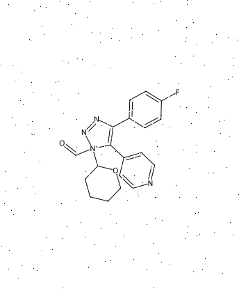 O=C[N+]1(C2CCCCO2)N=NC(c2ccc(F)cc2)=C1c1ccncc1